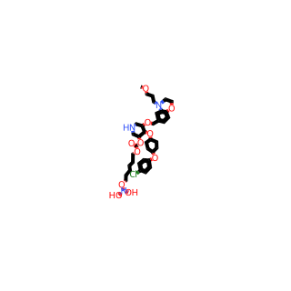 COCCCN1CCOc2ccc(COC3CNCC(OC(=O)OCCCCCCON(O)O)C3OC3CCC(Oc4ccc(Cl)cc4)CC3)cc21